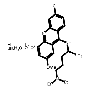 CCN(CC)CCCC(C)Nc1c2ccc(Cl)cc2nc2ccc(OC)cc12.Cl.Cl.O.O.O